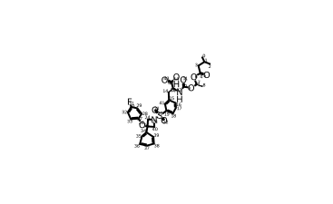 CC(C)CC(=O)O[C@@H](C)OC(=O)N[C@@H](Cc1cccc(S(=O)(=O)N2CC(Oc3ccc(F)cc3)(c3ccccc3)C2)c1)C(=O)O